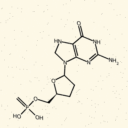 C=P(O)(O)OC[C@@H]1CCC(N2CNc3c2nc(N)[nH]c3=O)O1